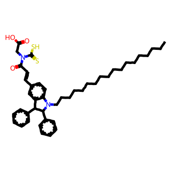 CCCCCCCCCCCCCCCCCCN1c2ccc(/C=C/C(=O)N(CC(=O)O)C(=S)S)cc2C(c2ccccc2)C1c1ccccc1